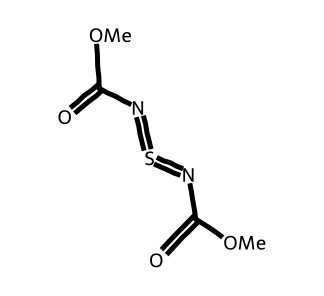 COC(=O)N=S=NC(=O)OC